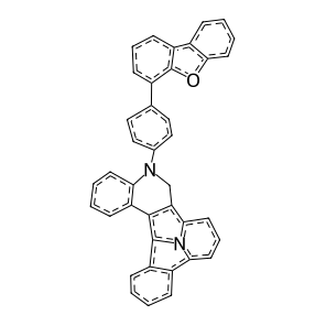 c1ccc2c(c1)-c1c(c3cccc4c5ccccc5c1n34)CN2c1ccc(-c2cccc3c2oc2ccccc23)cc1